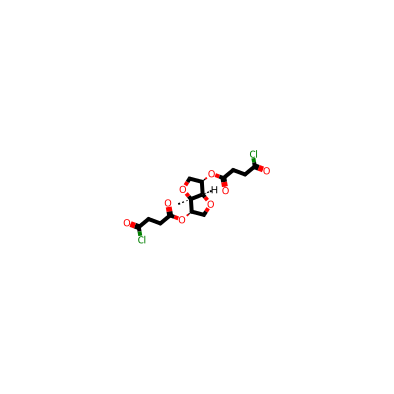 C[C@]12OC[C@H](OC(=O)CCC(=O)Cl)[C@H]1OC[C@@H]2OC(=O)CCC(=O)Cl